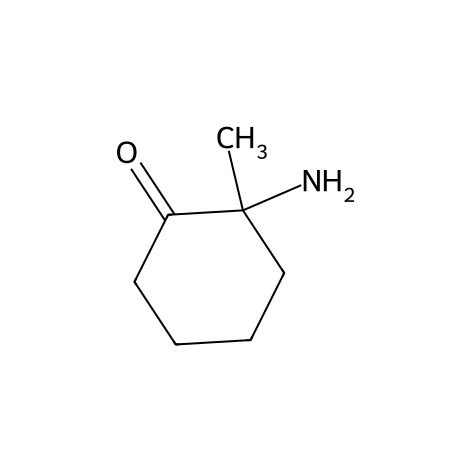 CC1(N)CCCCC1=O